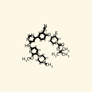 COc1nc(Nc2cc(-c3ccc(O[C@H]4CCN(C(=O)OC(C)(C)C)C[C@H]4F)c(C#N)c3)ncn2)ccc1N1CCN(C)CC1